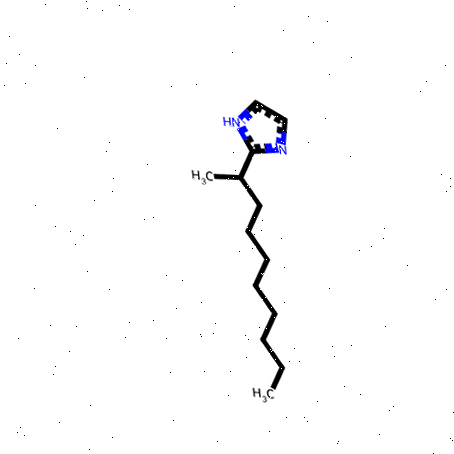 CCCCCCCCC(C)c1ncc[nH]1